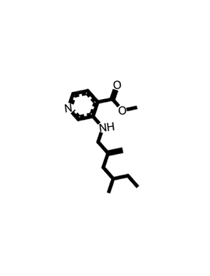 C=C(CNc1cnccc1C(=O)OC)CC(C)CC